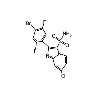 NS(=O)(=O)c1c(-c2cc(F)c(Br)cc2F)nc2cc(Cl)ccn12